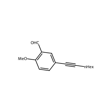 CCCCCCC#Cc1ccc(OC)c(C=O)c1